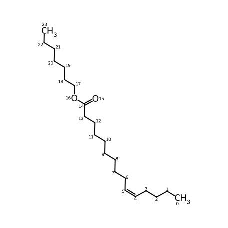 CCCC/C=C\CCCCCCCCC(=O)OCCCCCCC